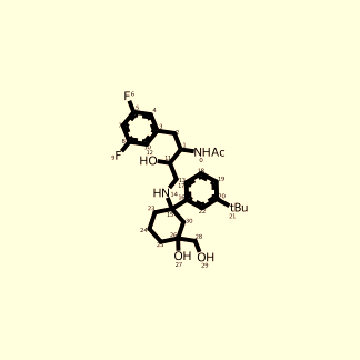 CC(=O)NC(Cc1cc(F)cc(F)c1)C(O)CNC1(c2cccc(C(C)(C)C)c2)CCCC(O)(CO)C1